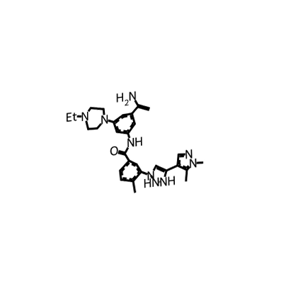 C=C(N)c1cc(NC(=O)c2ccc(C)c(N3C=C(c4cnn(C)c4C)NN3)c2)cc(N2CCN(CC)CC2)c1